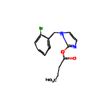 O=C(O)CCC(=O)Oc1nccn1Cc1ccccc1Br